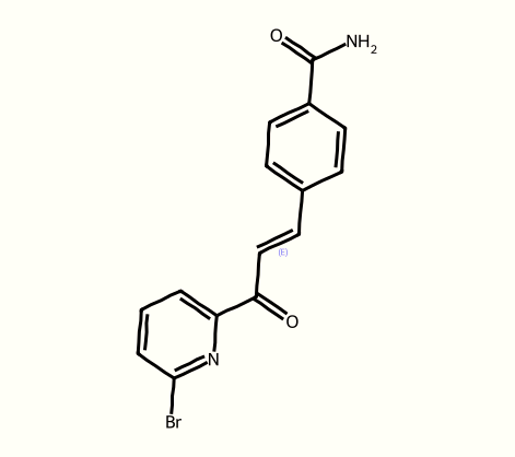 NC(=O)c1ccc(/C=C/C(=O)c2cccc(Br)n2)cc1